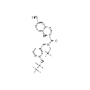 CC(C)(C)CN(Cc1cccc(OC(C)(C)C(C)(C)C)c1)C(=O)c1ccc2cc(O)ccc2n1